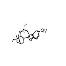 CC[C@@H]1Cc2c(oc3ccc(O)cc23)C2CC3CN1C2C(C)(CC)C3